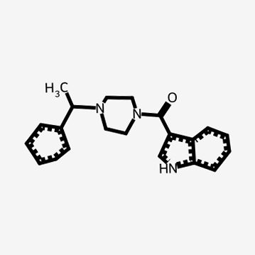 CC(c1ccccc1)N1CCN(C(=O)c2c[nH]c3ccccc23)CC1